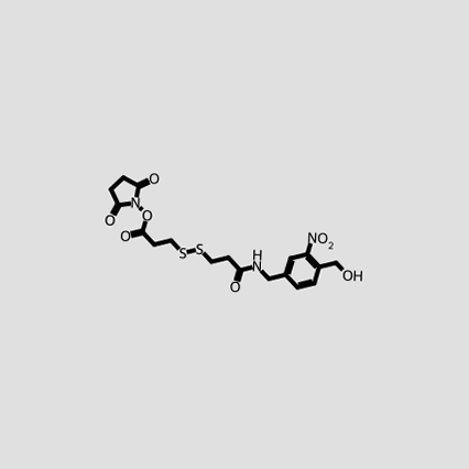 O=C(CCSSCCC(=O)ON1C(=O)CCC1=O)NCc1ccc(CO)c([N+](=O)[O-])c1